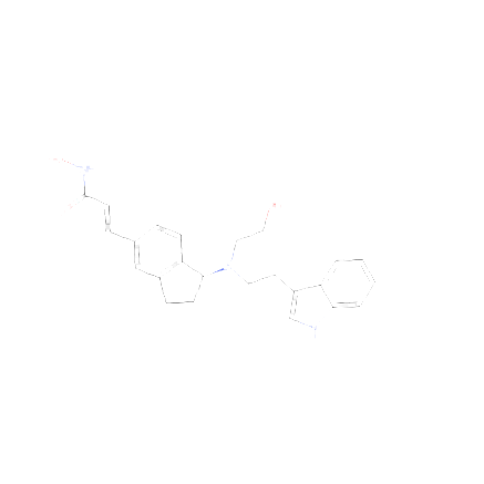 O=C(/C=C/c1ccc2c(c1)CC[C@@H]2N(CCO)CCc1c[nH]c2ccccc12)NO